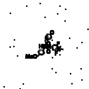 COCc1ccc([C@@H](NC(=O)Cn2ccc(=O)cc2)C(=O)Nc2cc(F)c([Si](C)(C)C)c(F)c2)cc1